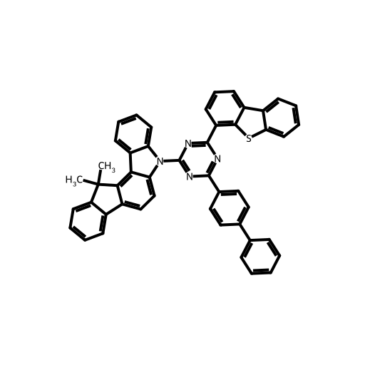 CC1(C)c2ccccc2-c2ccc3c(c21)c1ccccc1n3-c1nc(-c2ccc(-c3ccccc3)cc2)nc(-c2cccc3c2sc2ccccc23)n1